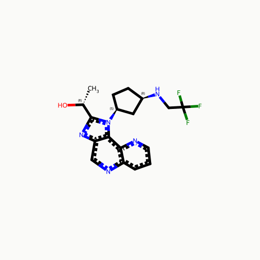 C[C@@H](O)c1nc2cnc3cccnc3c2n1[C@H]1CC[C@@H](NCC(F)(F)F)C1